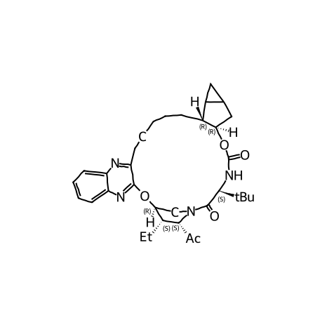 CC[C@@H]1[C@@H]2CN(C(=O)[C@H](C(C)(C)C)NC(=O)O[C@@H]3CC4CC4[C@H]3CCCCCc3nc4ccccc4nc3O2)[C@@H]1C(C)=O